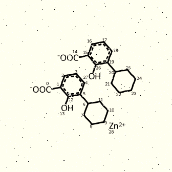 O=C([O-])c1cccc(C2CCCCC2)c1O.O=C([O-])c1cccc(C2CCCCC2)c1O.[Zn+2]